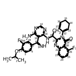 CC(C)Oc1ccc(C(=N)c2c(N)ncnc2NC(C)c2nc3cccc(F)c3c(=O)n2C2=CCCC=C2)cc1F